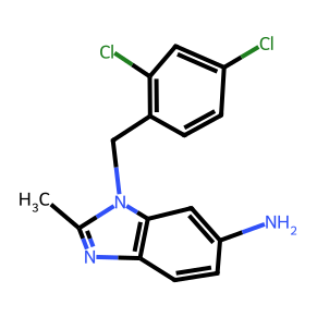 Cc1nc2ccc(N)cc2n1Cc1ccc(Cl)cc1Cl